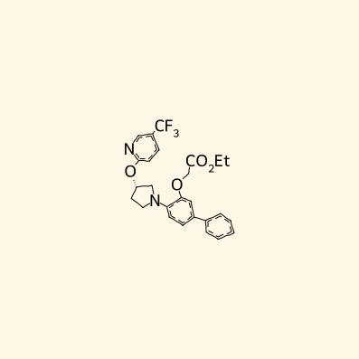 CCOC(=O)COc1cc(-c2ccccc2)ccc1N1CC[C@H](Oc2ccc(C(F)(F)F)cn2)C1